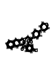 O=C(COCC1Cc2ccccc2CN1S(=O)(=O)c1ccc(Cl)cc1Cl)N1CCC(N2CCOCC2)CC1